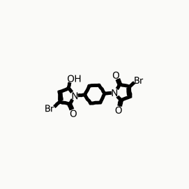 O=C1C=C(Br)C(=O)N1C1CCC(N2C(=O)C(Br)=CC2O)CC1